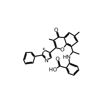 Cc1cc(C(C)Nc2ccccc2C(=O)O)c2oc(-c3cnc(-c4ccccc4)s3)c(C)c(=O)c2c1